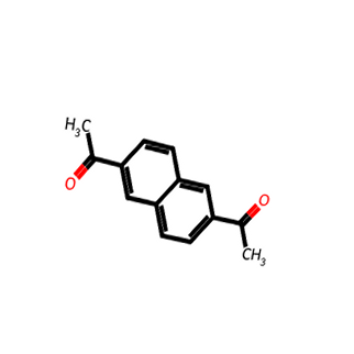 CC(=O)c1ccc2cc(C(C)=O)ccc2c1